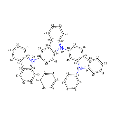 C1=CC(c2cccc(-n3c4ccccc4c4ccc(-n5c6ccccc6c6cc(-n7c8ccccc8c8ccccc87)ccc65)cc43)c2)=CCC1